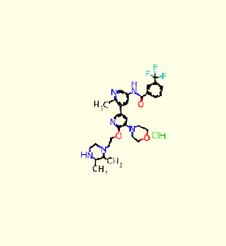 Cc1ncc(NC(=O)c2cccc(C(F)(F)F)c2)cc1-c1cnc(OCCN2CCNC(C)C2C)c(N2CCOCC2)c1.Cl